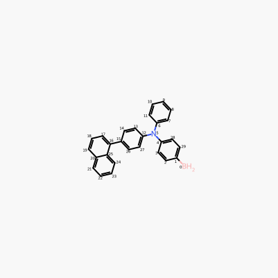 Bc1ccc(N(c2ccccc2)c2ccc(-c3cccc4ccccc34)cc2)cc1